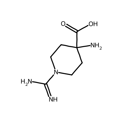 N=C(N)N1CCC(N)(C(=O)O)CC1